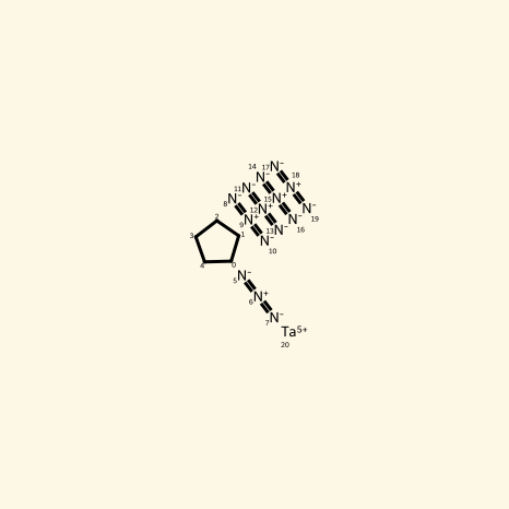 C1CCCC1.[N-]=[N+]=[N-].[N-]=[N+]=[N-].[N-]=[N+]=[N-].[N-]=[N+]=[N-].[N-]=[N+]=[N-].[Ta+5]